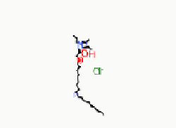 CCCCCCCC/C=C\CCCCCCCCOCC(O)C[N+](CCC)(CCC)CCC.[Cl-]